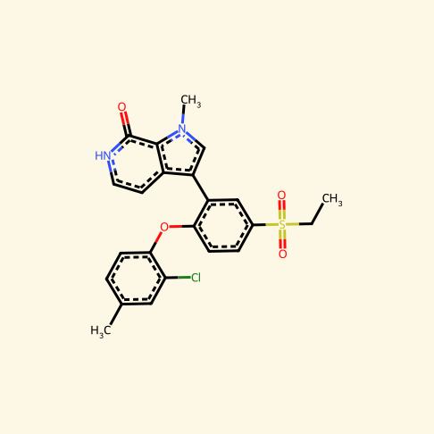 CCS(=O)(=O)c1ccc(Oc2ccc(C)cc2Cl)c(-c2cn(C)c3c(=O)[nH]ccc23)c1